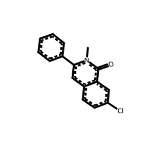 Cn1c(-c2ccccc2)cc2ccc(Cl)cc2c1=O